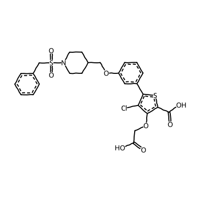 O=C(O)COc1c(C(=O)O)sc(-c2cccc(OCC3CCN(S(=O)(=O)Cc4ccccc4)CC3)c2)c1Cl